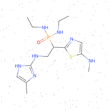 CCNP(=O)(NCC)C(CNc1nc(C)c[nH]1)c1ncc(NC)s1